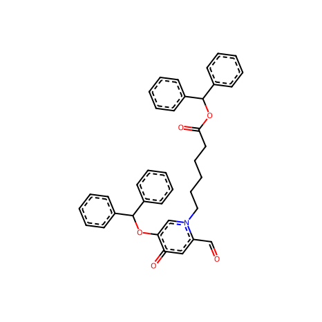 O=Cc1cc(=O)c(OC(c2ccccc2)c2ccccc2)cn1CCCCCC(=O)OC(c1ccccc1)c1ccccc1